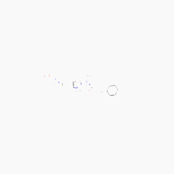 O=C(Nc1nc2c(s1)C[C@@H](N1CCOCC1)CC2)OCc1ccccc1